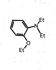 CCOc1ccccc1N(CC)CC